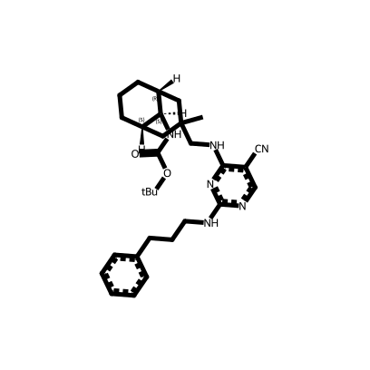 CC1(CNc2nc(NCCCc3ccccc3)ncc2C#N)C[C@H]2CCC[C@@H](C1)[C@@H]2NC(=O)OC(C)(C)C